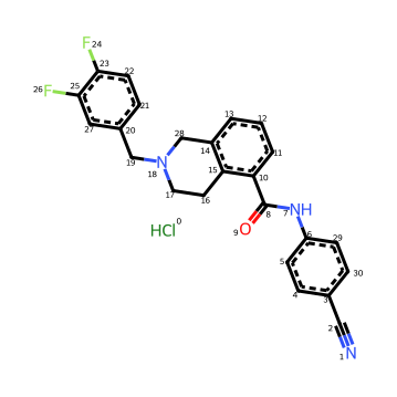 Cl.N#Cc1ccc(NC(=O)c2cccc3c2CCN(Cc2ccc(F)c(F)c2)C3)cc1